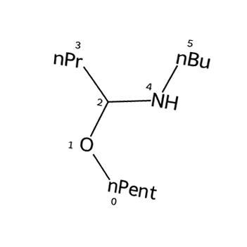 CCCCCOC(CCC)NCCCC